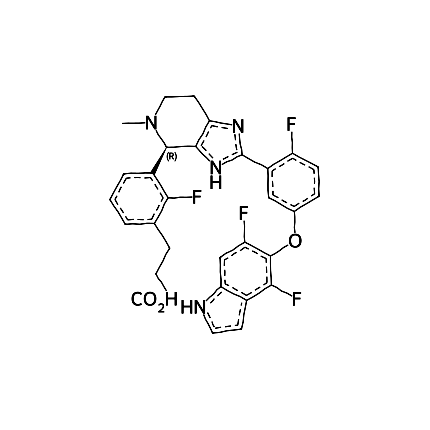 CN1CCc2nc(-c3cc(Oc4c(F)cc5[nH]ccc5c4F)ccc3F)[nH]c2[C@H]1c1cccc(CCC(=O)O)c1F